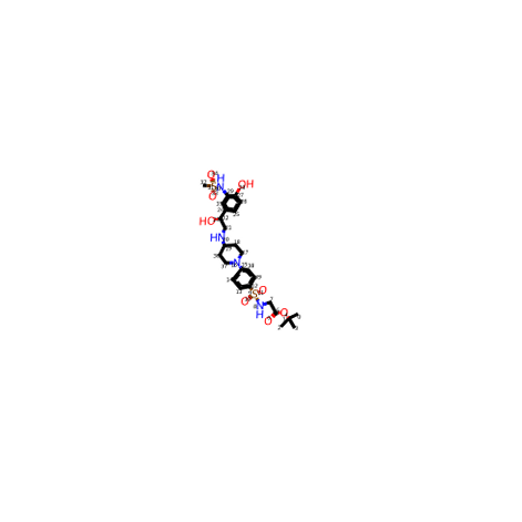 CC(C)(C)OC(=O)CNS(=O)(=O)c1ccc(N2CCC(NC[C@@H](O)c3ccc(O)c(NS(C)(=O)=O)c3)CC2)cc1